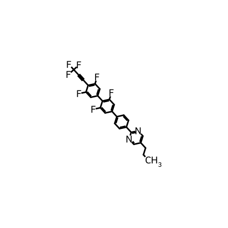 CCCc1cnc(-c2ccc(-c3cc(F)c(-c4cc(F)c(C#CC(F)(F)F)c(F)c4)c(F)c3)cc2)nc1